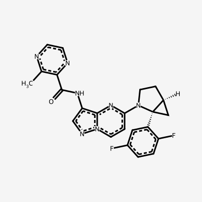 Cc1nccnc1C(=O)Nc1cnn2ccc(N3CC[C@H]4C[C@]43c3cc(F)ccc3F)nc12